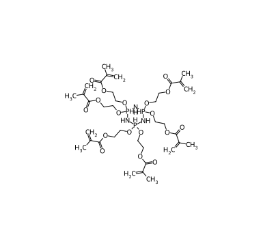 C=C(C)C(=O)OCCO[PH]1(OCCOC(=O)C(=C)C)N[PH](OCCOC(=O)C(=C)C)(OCCOC(=O)C(=C)C)N[PH](OCCOC(=O)C(=C)C)(OCCOC(=O)C(=C)C)N1